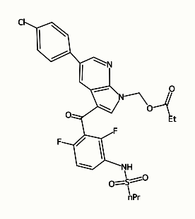 CCCS(=O)(=O)Nc1ccc(F)c(C(=O)c2cn(COC(=O)CC)c3ncc(-c4ccc(Cl)cc4)cc23)c1F